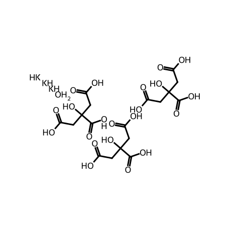 O.O=C(O)CC(O)(CC(=O)O)C(=O)O.O=C(O)CC(O)(CC(=O)O)C(=O)O.O=C(O)CC(O)(CC(=O)O)C(=O)O.[KH].[KH].[KH]